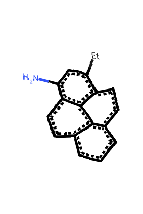 CCc1cc(N)c2ccc3cccc4ccc1c2c34